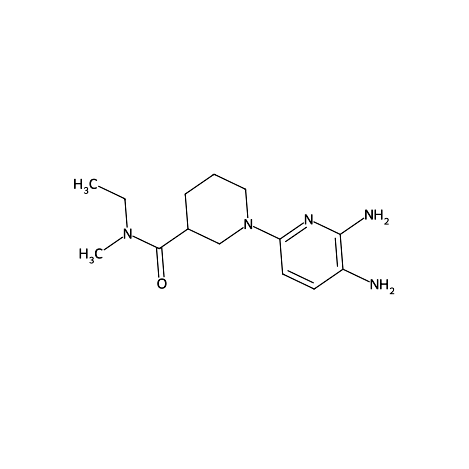 CCN(C)C(=O)C1CCCN(c2ccc(N)c(N)n2)C1